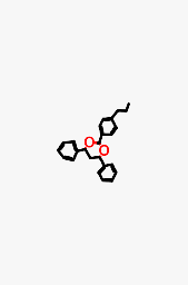 CCCc1ccc(C2OC(c3ccccc3)CC(c3ccccc3)O2)cc1